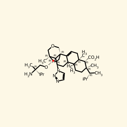 CC(C)[C@@H](C)[C@@]1(C)CC[C@]2(C)[C@H]3CC[C@@H]4[C@@]5(COC[C@]4(C)[C@@H](OC[C@](C)(N)C(C)C)[C@H](n4ccnn4)C5)C3=CC[C@@]2(C)[C@@H]1C(=O)O